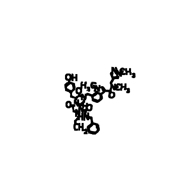 C=CCN1CC(=O)N2[C@@H](Cc3ccc(O)cc3)C(=O)N(Cc3cccc4c(C(=O)N(C)Cc5cnn(C)c5)cn(C)c34)C[C@@H]2N1C(=O)NCc1ccccc1